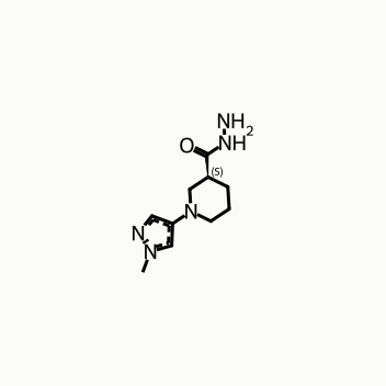 Cn1cc(N2CCC[C@H](C(=O)NN)C2)cn1